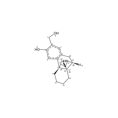 OCc1cc2c(cc1O)[C@@]13CCCC[C@H]1[C@@H](C2)NCC3